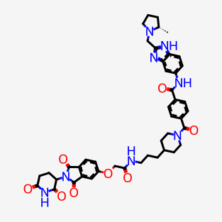 C[C@H]1CCCN1Cc1nc2cc(NC(=O)c3ccc(C(=O)N4CCC(CCCNC(=O)COc5ccc6c(c5)C(=O)N(C5CCC(=O)NC5=O)C6=O)CC4)cc3)ccc2[nH]1